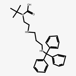 CC(C)(C)N(CCNCCCNC(c1ccccc1)(c1ccccc1)c1ccccc1)C(=O)O